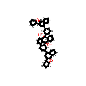 OC1(c2cccc(-c3cc4c5ccccc5oc4c4ccccc34)c2)c2ccccc2C(O)(c2cccc(-c3cc4c5ccccc5oc4c4ccccc34)c2)c2ccccc21